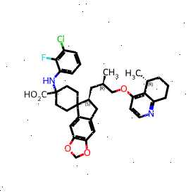 C[C@@H](COc1ccnc2c1[C@H](C)CCC2)C[C@H]1Cc2cc3c(cc2C12CCC(Nc1cccc(Cl)c1F)(C(=O)O)CC2)OCO3